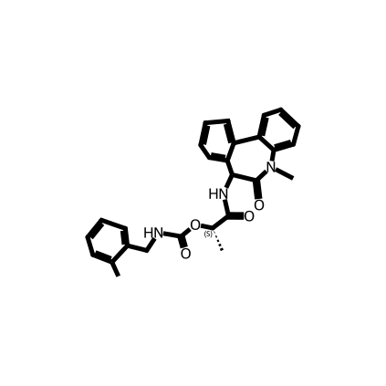 Cc1ccccc1CNC(=O)O[C@@H](C)C(=O)NC1C(=O)N(C)c2ccccc2-c2ccccc21